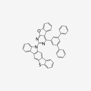 c1ccc(-c2cc(-c3ccccc3)cc(-c3nc(-n4c5ccccc5c5cc6sc7ccccc7c6cc54)nc4oc5ccccc5c34)c2)cc1